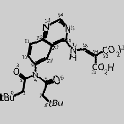 CC(C)(C)CC(=O)N(C(=O)CC(C)(C)C)c1ccc2ncnc(NC=C(C(=O)O)C(=O)O)c2c1